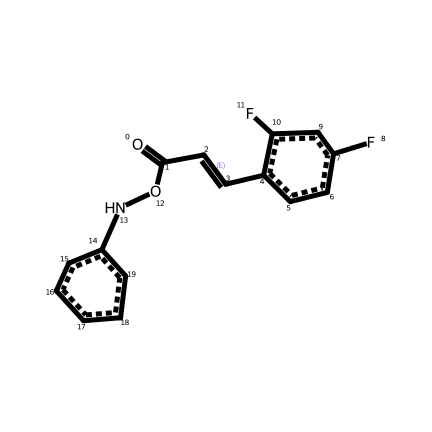 O=C(/C=C/c1ccc(F)cc1F)ONc1ccccc1